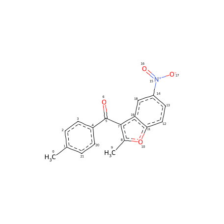 Cc1ccc(C(=O)c2c(C)oc3ccc([N+](=O)[O-])cc23)cc1